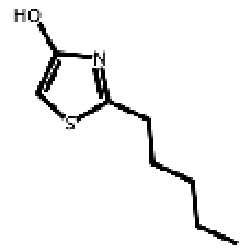 CCCCCc1nc(O)cs1